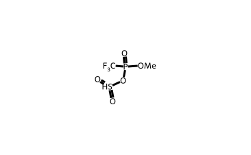 COP(=O)(O[SH](=O)=O)C(F)(F)F